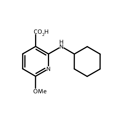 COc1ccc(C(=O)O)c(NC2CCCCC2)n1